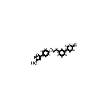 Oc1cc(-c2ccc(OCCc3cccc(-c4ccc(F)nc4)c3)cc2)on1